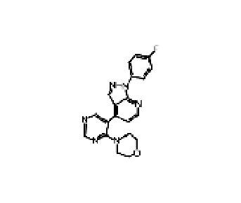 Fc1ccc(-n2ncc3c(-c4cncnc4N4CCOCC4)ccnc32)cc1